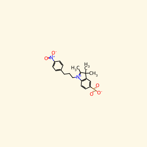 CC1=[N+](CCCc2ccc([N+](=O)[O-])cc2)c2ccc(S(=O)(=O)[O-])cc2C1(C)C